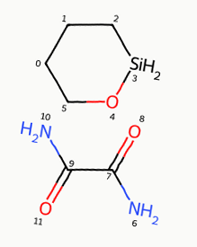 C1CC[SiH2]OC1.NC(=O)C(N)=O